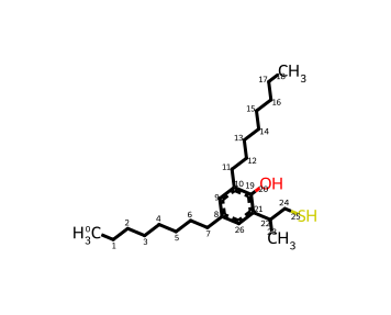 CCCCCCCCc1cc(CCCCCCCC)c(O)c(C(C)CS)c1